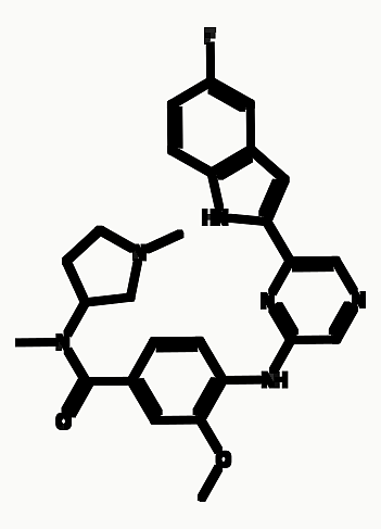 COc1cc(C(=O)N(C)C2CCN(C)C2)ccc1Nc1cncc(-c2cc3cc(F)ccc3[nH]2)n1